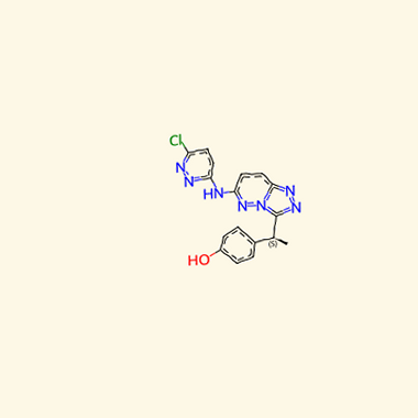 C[C@@H](c1ccc(O)cc1)c1nnc2ccc(Nc3ccc(Cl)nn3)nn12